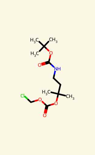 CC(C)(C)OC(=O)NCCC(C)(C)OC(=O)OCCl